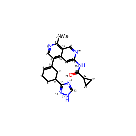 CNc1ncc(C2=CCCC(c3nc[nH]n3)C2)c2cc(NC(=O)C3CC3)ncc12